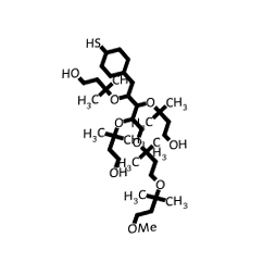 COCCC(C)(C)OCCC(C)(C)OCC(OC(C)(C)CCO)C(OC(C)(C)CCO)C(CC1CCC(S)CC1)OC(C)(C)CCO